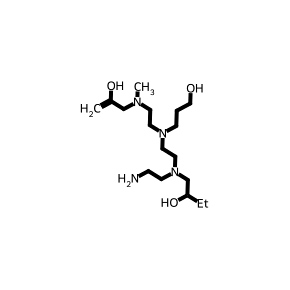 C=C(O)CN(C)CCN(CCCO)CCN(CCN)CC(O)CC